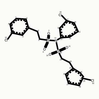 O=S(=O)(CCc1cccc(Cl)c1)N(c1cccc(Cl)c1)S(=O)(=O)CCc1cccc(Cl)c1